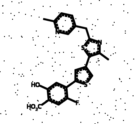 Cc1ccc(Cc2nc(C)c(-c3csc(-c4cc(O)c(C(=O)O)cc4F)c3)s2)cn1